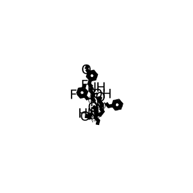 CC[C@H](C)[C@@]1(NC(C)=O)CCN([C@@H](CCc2ccccc2)C(=O)N[C@@H](Cc2cc(F)cc(F)c2)[C@H](O)CNCc2cccc(OC)c2)C1=O